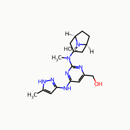 Cc1cc(Nc2cc(CO)nc(N(C)C3C[C@H]4CC[C@@H](C3)N4C(=O)O)n2)n[nH]1